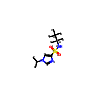 CC(C)n1cnc(S(=O)(=O)N[Si](C)(C)C(C)(C)C)c1